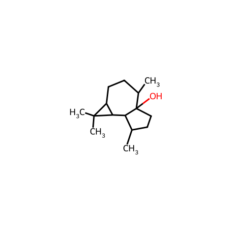 CC1CCC2(O)C(C)CCC3C(C12)C3(C)C